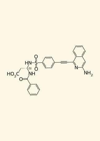 Nc1cc2ccccc2c(C#Cc2ccc(S(=O)(=O)N[C@@H](CC(=O)O)NC(=O)c3ccccc3)cc2)n1